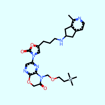 Cc1nccc2c1CC(NCCCc1cn(-c3cnc4c(n3)N(COCC[Si](C)(C)C)C(=O)CO4)c(=O)o1)C2